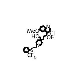 COc1ccc2ncc(Cl)c([C@H](O)CCC3(CO)CCN(CCSc4ccccc4C(F)(F)F)CC3)c2c1